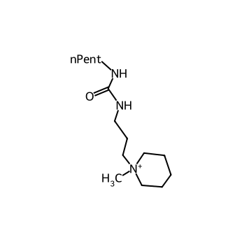 CCCCCNC(=O)NCCC[N+]1(C)CCCCC1